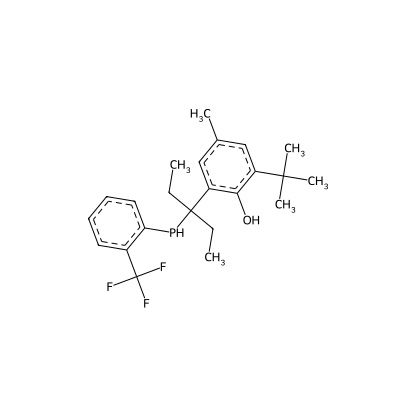 CCC(CC)(Pc1ccccc1C(F)(F)F)c1cc(C)cc(C(C)(C)C)c1O